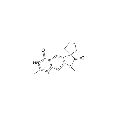 Cc1nc2cc3c(cc2c(=O)[nH]1)C1(CCCC1)C(=O)N3C